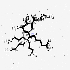 CCC[CH2][Sn]([CH2]CCC)([CH2]CCC)/[C](=C\CCCC(=O)O)c1cc(C)c(OC)c(C(=O)NOC)c1